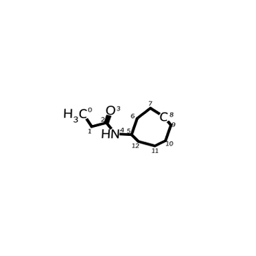 CCC(=O)NC1CCCCCCC1